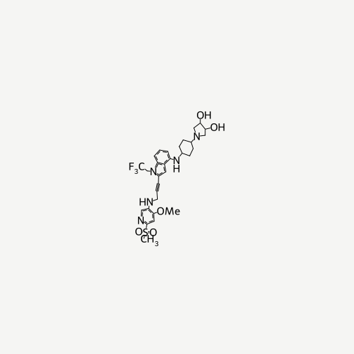 COc1cc(S(C)(=O)=O)ncc1NCC#Cc1cc2c(NC3CCC(N4CC(O)C(O)C4)CC3)cccc2n1CC(F)(F)F